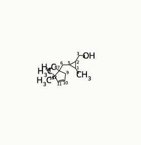 CC1C(CO)C1CC1(C)CC=CC1(C)C